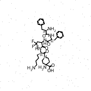 NCCCC[C@@H](NC(=O)C(CC(F)(F)F)NC(=O)[C@@H](Cc1ccccc1)NC(=O)[C@H](N)Cc1ccccc1)C(=O)N1CCC(N)(C(=O)O)CC1